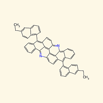 CCc1ccc2c(-c3c4ccccc4c4nc5ccc6c(-c7cccc8cc(CC)ccc78)c7ccccc7c7nc8ccc3c4c8c5c67)cccc2c1